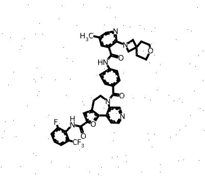 Cc1cnc(N2CC3(CCOCC3)C2)c(C(=O)Nc2ccc(C(=O)N3CCc4cc(C(=O)Nc5c(F)cccc5C(F)(F)F)oc4-c4ccncc43)cc2)c1